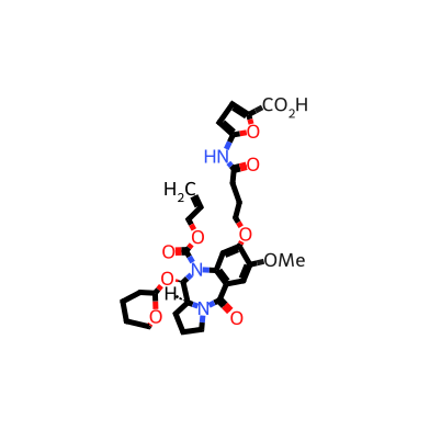 C=CCOC(=O)N1c2cc(OCCCC(=O)Nc3ccc(C(=O)O)o3)c(OC)cc2C(=O)N2CCC[C@H]2[C@@H]1OC1CCCCO1